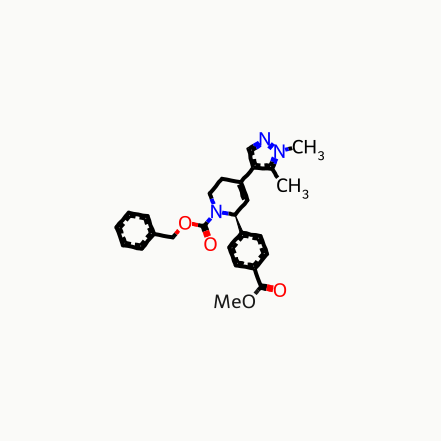 COC(=O)c1ccc([C@@H]2C=C(c3cnn(C)c3C)CCN2C(=O)OCc2ccccc2)cc1